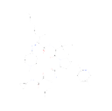 CCCCCC(C)[C@H](NC1CCN(C)CC1)C(=O)NC(C(=O)N1C[C@H](Oc2ccc(Cl)cn2)CC1C(=O)N[C@H](CCC)C(=O)C(=O)NC1CC1)C(C)(C)C